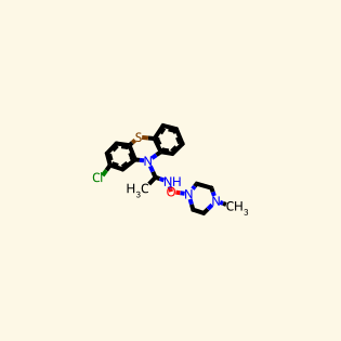 CC(NON1CCN(C)CC1)N1c2ccccc2Sc2ccc(Cl)cc21